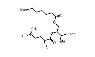 CCCCCCCCCCCCCCCC(=O)OCC(OC(=O)C(C)CCN(C)C)C(CCCC)CCCCC